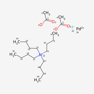 CC(=O)[O-].CC(=O)[O-].CCCC[N+](CCCC)(CCCC)CCCC.[F-].[Pd+2]